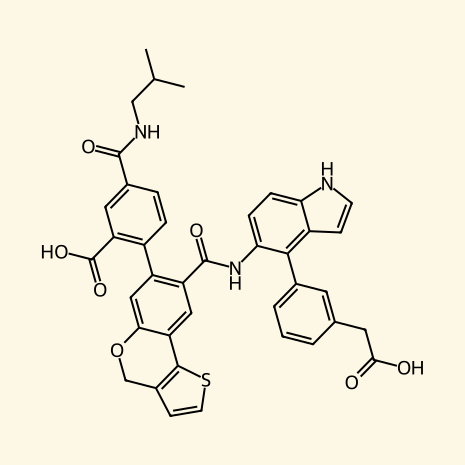 CC(C)CNC(=O)c1ccc(-c2cc3c(cc2C(=O)Nc2ccc4[nH]ccc4c2-c2cccc(CC(=O)O)c2)-c2sccc2CO3)c(C(=O)O)c1